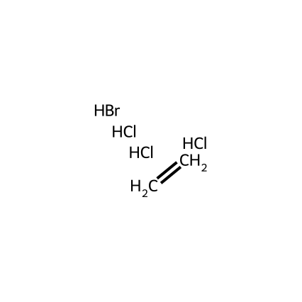 Br.C=C.Cl.Cl.Cl